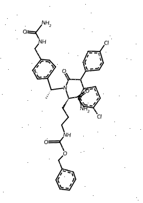 C[C@H](c1ccc(CNC(N)=O)cc1)N(C(=O)C(c1ccc(Cl)cc1)c1ccc(Cl)cc1)[C@H](CCCNC(=O)OCc1ccccc1)C(N)=O